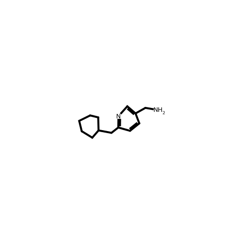 NCc1ccc(CC2CCCCC2)nc1